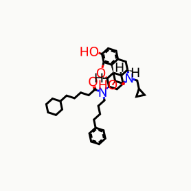 O=C(CCCCC1CCCCC1)N(CCCCc1ccccc1)[C@@H]1CC[C@H]2[C@H]3Cc4ccc(O)c5c4[C@@]2([C@H](O)CN3CC2CC2)[C@H]1O5